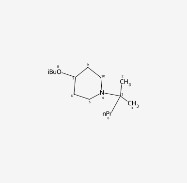 CCCC(C)(C)N1CCC(OCC(C)C)CC1